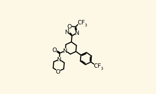 O=C(N1CCOCC1)N1CC(c2ccc(C(F)(F)F)cc2)CC(c2noc(C(F)(F)F)n2)C1